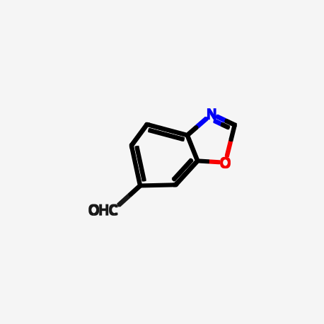 O=Cc1ccc2ncoc2c1